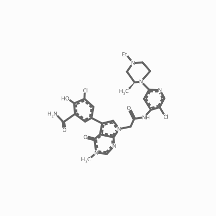 CCN1CCN(c2cc(NC(=O)Cn3cc(-c4cc(Cl)c(O)c(C(N)=O)c4)c4c(=O)n(C)cnc43)c(Cl)cn2)[C@@H](C)C1